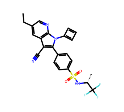 CCc1cnc2c(c1)c(C#N)c(-c1ccc(S(=O)(=O)N[C@H](C)C(F)(F)F)cc1)n2C1=CC=C1